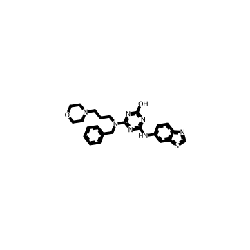 Oc1nc(Nc2ccc3ncsc3c2)nc(N(CCCN2CCOCC2)Cc2ccccc2)n1